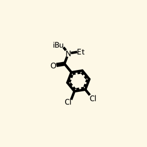 CCC(C)N(CC)C(=O)c1ccc(Cl)c(Cl)c1